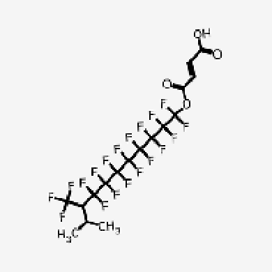 CC(C)C(C(F)(F)F)C(F)(F)C(F)(F)C(F)(F)C(F)(F)C(F)(F)C(F)(F)C(F)(F)C(F)(F)OC(=O)C=CC(=O)O